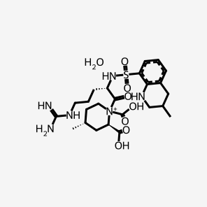 CC1CNc2c(cccc2S(=O)(=O)N[C@@H](CCCNC(=N)N)C(=O)[N+]2(C(=O)O)CC[C@@H](C)C[C@@H]2C(=O)O)C1.O